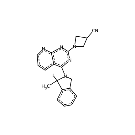 CC1(I)c2ccccc2CN1c1nc(N2CC(C#N)C2)nc2ncccc12